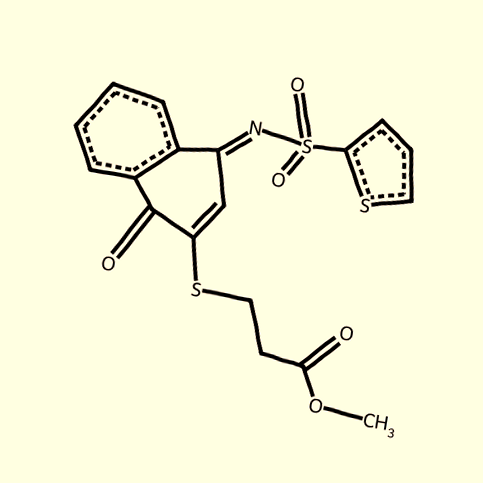 COC(=O)CCSC1=C/C(=N\S(=O)(=O)c2cccs2)c2ccccc2C1=O